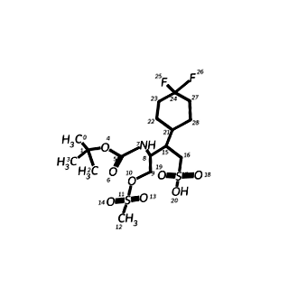 CC(C)(C)OC(=O)NC(COS(C)(=O)=O)C(CS(=O)(=O)O)C1CCC(F)(F)CC1